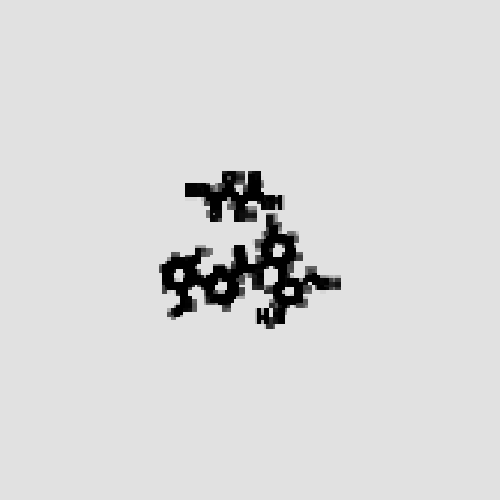 COc1cccc(F)c1-c1nccc(C(=O)Nc2cc(F)ccc2N2C[C@@H](N)C[C@H]2CO)n1.O=C(O)C(O)C(O)C(=O)O